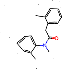 Cc1ccccc1CC(=O)N(C)c1ccccc1C